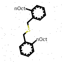 CCCCCCCCc1ccccc1CSCc1ccccc1CCCCCCCC